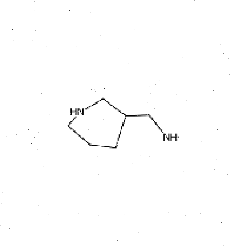 [NH]CC1CCCNC1